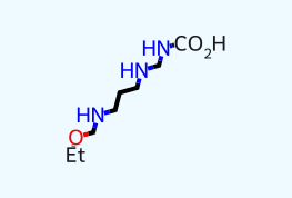 CCOCNCCCNCNC(=O)O